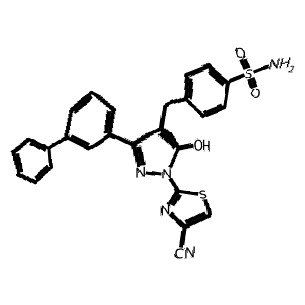 N#Cc1csc(-n2nc(-c3cccc(-c4ccccc4)c3)c(Cc3ccc(S(N)(=O)=O)cc3)c2O)n1